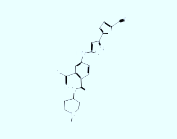 CN1CCC(NC(=O)c2ccc(Nc3cc(-c4ccc(C#N)s4)n[nH]3)cc2C(N)=O)CC1